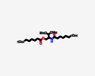 CCCCCCCCCCCCCCCC(=O)NC(COC(=O)CCCCCCCCCCCCCCC)C(OC)OC